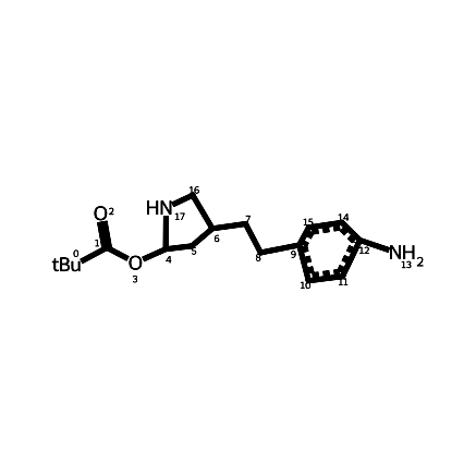 CC(C)(C)C(=O)OC1CC(CCc2ccc(N)cc2)CN1